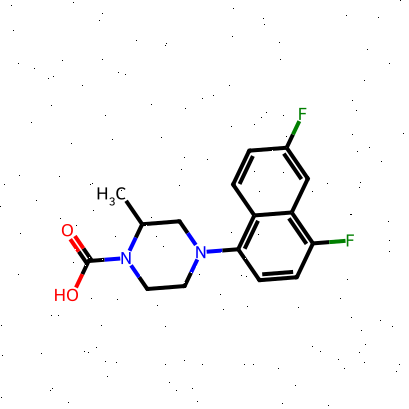 CC1CN(c2ccc(F)c3cc(F)ccc23)CCN1C(=O)O